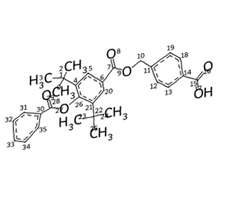 CC(C)(C)c1cc(C(=O)OCc2ccc(C(=O)O)cc2)cc(C(C)(C)C)c1OC(=O)c1ccccc1